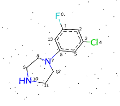 Fc1cc(Cl)cc(N2CCNCC2)c1